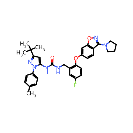 Cc1ccc(-n2nc(C(C)(C)C)cc2NC(=O)NCc2cc(F)ccc2Oc2ccc3c(N4CCCC4)noc3c2)cc1